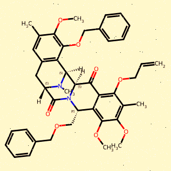 C=CCOc1c(C)c(OC)c(OC)c2c1C(=O)[C@@H]1[C@@H]3c4c(cc(C)c(OC)c4OCc4ccccc4)C[C@@H](C(=O)N1[C@H]2COCc1ccccc1)N3C